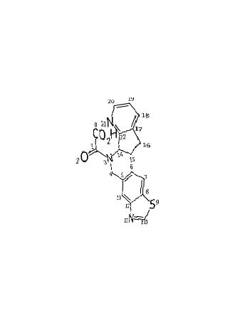 O=C(O)C(=O)N(Cc1ccc2scnc2c1)C1CCc2cccnc21